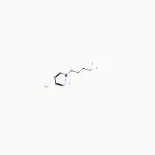 COc1ccc(CCCCN)nc1